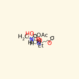 C=CCN1CC[C@]23c4c5c(O)cc(OC(C)=O)c4O[C@H]2[C@@H](N(CC)C(=O)CCCCC(=O)c2ccccc2)CC[C@H]3[C@H]1C5